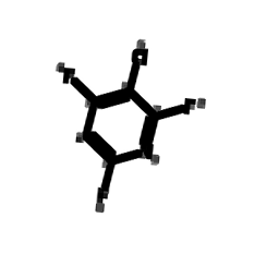 Fc1cc(F)c(Cl)c(F)n1